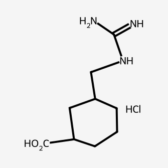 Cl.N=C(N)NCC1CCCC(C(=O)O)C1